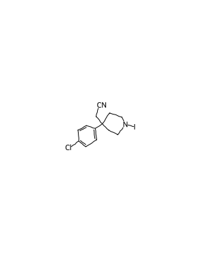 N#CCC1(c2ccc(Cl)cc2)CCN(I)CC1